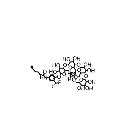 C#CCCCC(=O)Nc1ccc(O[C@@H]2OC(CO)[C@@H](O[C@H]3OC(CO)[C@@H](O[C@H]4OC(CO)[C@@H](O[C@H]5OC(CO)[C@@H](O)C(O)C5O)C(O)C4O)C(O)C3O)C(O)C2O)c(C(F)F)c1